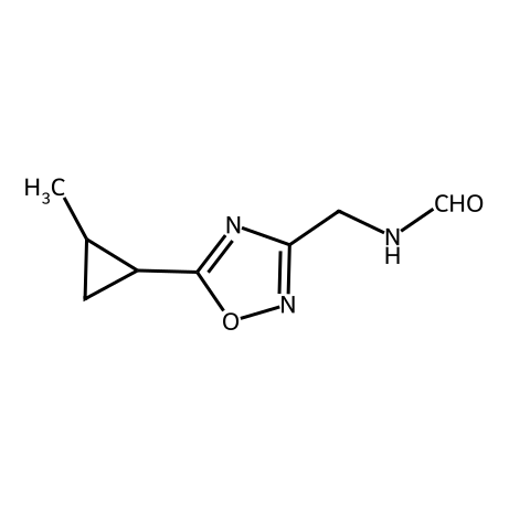 CC1CC1c1nc(CNC=O)no1